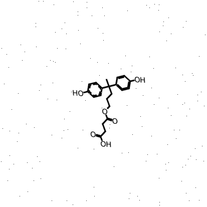 CC(CCCOC(=O)CCC(=O)O)(C1=C=C=C(O)C=C1)c1ccc(O)cc1